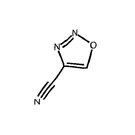 N#Cc1conn1